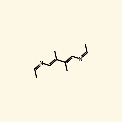 C\C=N/C=C(C)/C(C)=C/N=C\C